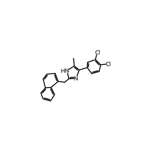 Cc1[nH]c(Cc2cccc3ccccc23)nc1-c1ccc(Cl)c(Cl)c1